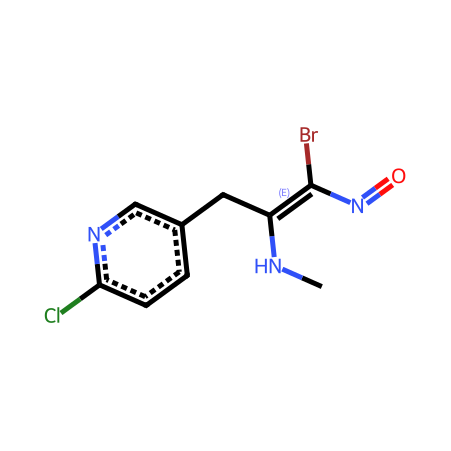 CN/C(Cc1ccc(Cl)nc1)=C(/Br)N=O